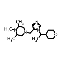 CC1CN(Cc2cncn2C(C)C2CCOCC2)CC(C)N1C